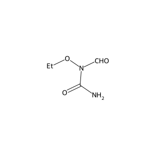 CCON(C=O)C(N)=O